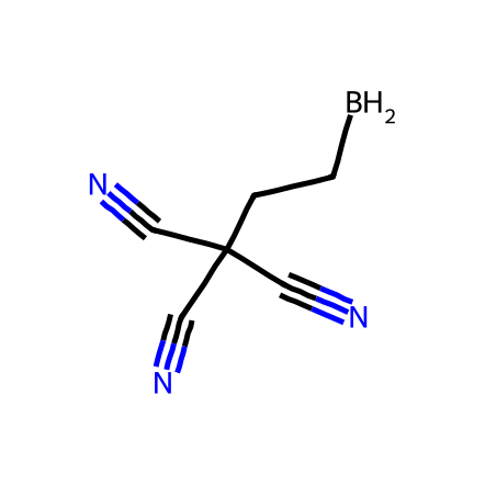 BCCC(C#N)(C#N)C#N